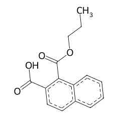 CCCOC(=O)c1c(C(=O)O)ccc2ccccc12